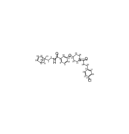 CC1(CCNC(=O)c2cccc(OC3CCN(C(=O)CCc4ccc(Cl)cc4)CC3)c2)CC2C=CC1C2